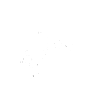 CN(C)c1cnc(-c2cc(C(F)(F)F)ccc2Oc2ccc(-c3nc(NC4CCNC4=O)cc(C(N)=O)n3)cc2)cn1